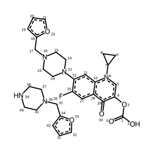 O=C(O)Oc1cn(C2CC2)c2cc(N3CCN(Cc4ccco4)CC3)c(F)cc2c1=O.c1coc(CN2CCNCC2)c1